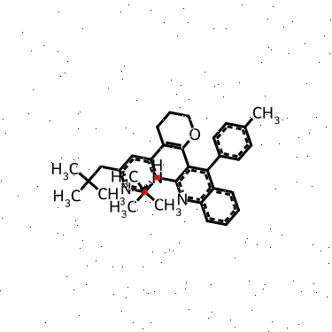 Cc1ccc(-c2c(C3=C(c4cc(CC(C)(C)C)ncn4)CCCO3)c(NC(C)(C)C)nc3ccccc23)cc1